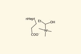 CCC(O)[N+](C)(C)C.CCCCCCCCCC(=O)[O-]